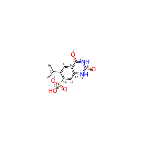 CC(C)c1cc2c(=O)[nH]c(=O)[nH]c2cc1S(=O)(=O)O